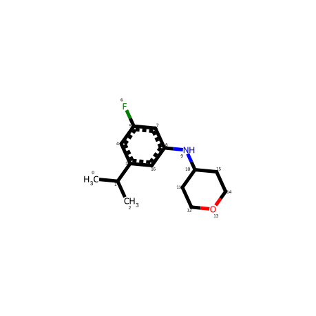 CC(C)c1cc(F)cc(NC2CCOCC2)c1